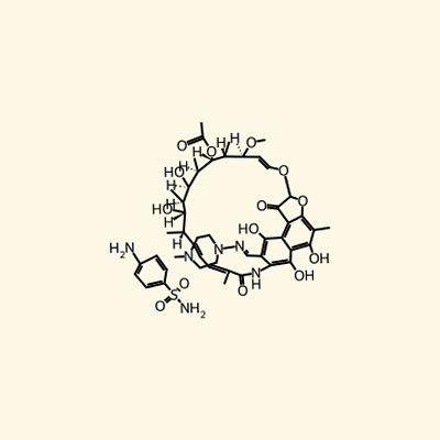 CO[C@H]1/C=C/O[C@@]2(C)Oc3c(C)c(O)c4c(O)c(c(/C=N/N5CCN(C)CC5)c(O)c4c3C2=O)NC(=O)/C(C)=C\C=C\[C@H](C)[C@H](O)[C@@H](C)[C@@H](O)[C@@H](C)[C@H](OC(C)=O)[C@@H]1C.Nc1ccc(S(N)(=O)=O)cc1